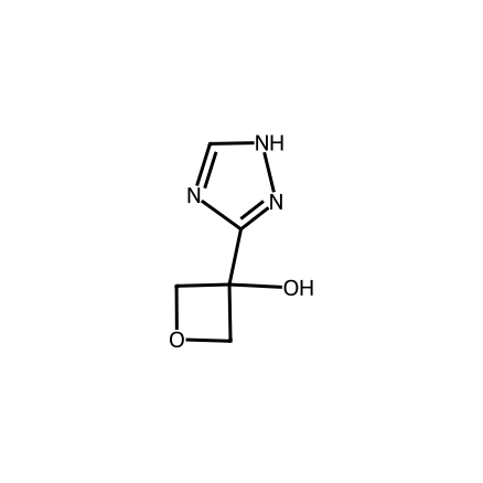 OC1(c2nc[nH]n2)COC1